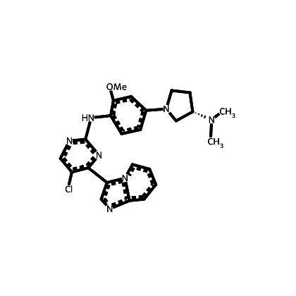 COc1cc(N2CC[C@H](N(C)C)C2)ccc1Nc1ncc(Cl)c(-c2cnc3ccccn23)n1